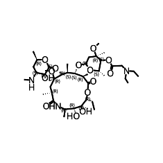 CC[C@H]1OC(=O)[C@H](C)[C@@H](O[C@H]2C[C@@](C)(OC)[C@@H](OC(=O)CN(CC)CC)[C@H](C)O2)[C@H](C)[C@@H](O[C@@H]2O[C@H](C)C[C@H](NC)[C@H]2O)[C@](C)(OC)C[C@@H](C)C(=O)N[C@H](C)[C@@H](O)[C@]1(C)O